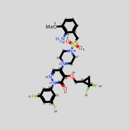 COc1cccc(CS(=O)(=O)N2CCN(c3cnn(-c4cc(F)cc(F)c4)c(=O)c3OCC3CC3(F)F)CC2)c1N